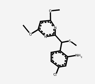 COc1cc(OC)nc(C(SC)c2ccc(Cl)cc2N)n1